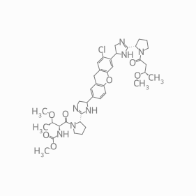 COC(=O)N[C@H](C(=O)N1CCC[C@H]1C1=NCC(c2ccc3c(c2)Cc2cc(Cl)c(C4CN=C([C@@H]5CCCN5C(=O)C[C@@H](C)OC)N4)cc2O3)N1)[C@@H](C)OC